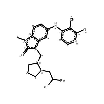 Cn1c(=O)n(C[C@@H]2CCCN2CC(F)F)c2cc(Nc3ccnc(Cl)c3C#N)ccc21